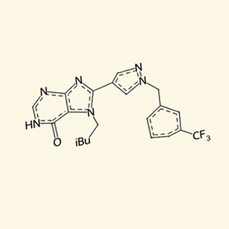 CCC(C)Cn1c(-c2cnn(Cc3cccc(C(F)(F)F)c3)c2)nc2nc[nH]c(=O)c21